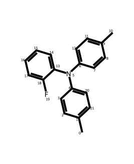 Cc1ccc(N(c2ccc(C)cc2)c2ccccc2F)cc1